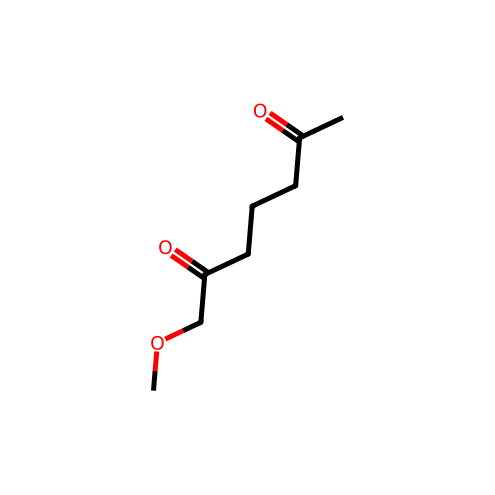 COCC(=O)CCCC(C)=O